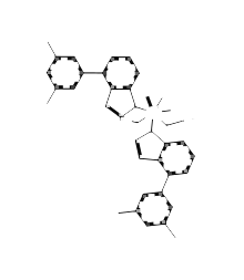 [CH2]=[Hf]([CH3])([CH3])([CH2]C(C)C)([CH2]C(C)C)([CH]1C=Cc2c(-c3cc(C)cc(C)c3)cccc21)[CH]1C=Cc2c(-c3cc(C)cc(C)c3)cccc21